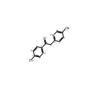 N#Cc1ccc(CC(=O)c2ccc(Cl)cc2)nc1